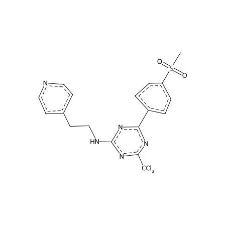 CS(=O)(=O)c1ccc(-c2nc(NCCc3ccncc3)nc(C(Cl)(Cl)Cl)n2)cc1